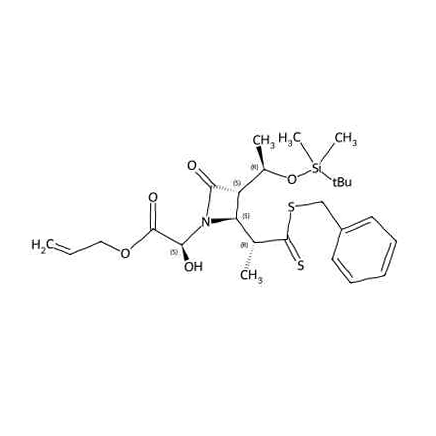 C=CCOC(=O)[C@H](O)N1C(=O)[C@H]([C@@H](C)O[Si](C)(C)C(C)(C)C)[C@H]1[C@@H](C)C(=S)SCc1ccccc1